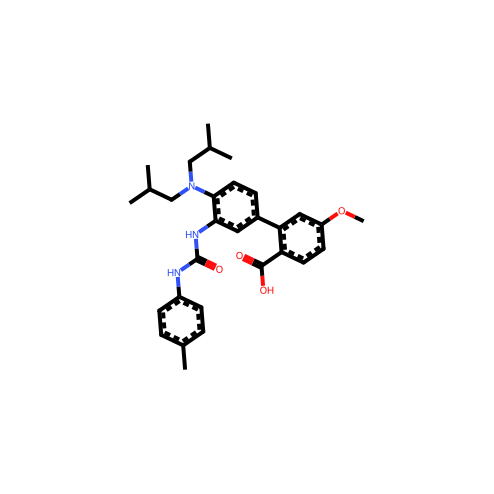 COc1ccc(C(=O)O)c(-c2ccc(N(CC(C)C)CC(C)C)c(NC(=O)Nc3ccc(C)cc3)c2)c1